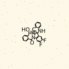 O=C(Nc1cc(F)c(F)cc1C(=O)Nc1ccccc1C(=O)O)c1ccccc1F